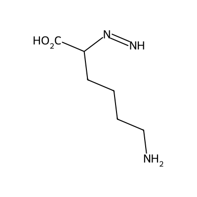 N=NC(CCCCN)C(=O)O